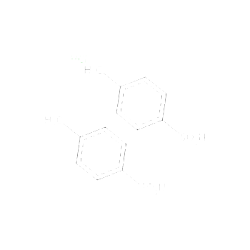 Cc1ccc(S(=O)(=O)O)cc1.Cc1ccc(S(=O)(=O)O)cc1.Cl